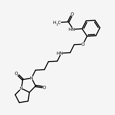 CC(=O)Nc1ccccc1OCCNCCCCN1C(=O)C2CCCN2C1=O